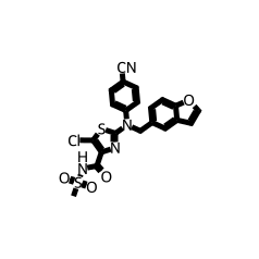 CS(=O)(=O)NC(=O)c1nc(N(Cc2ccc3occc3c2)c2ccc(C#N)cc2)sc1Cl